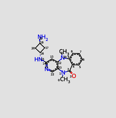 CN1C(=O)c2ccccc2N(C)c2cc(N[C@H]3C[C@H](N)C3)ncc21